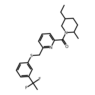 CCC1CCC(C)N(C(=O)c2cccc(CSc3cccc(C(C)(F)F)c3)n2)C1